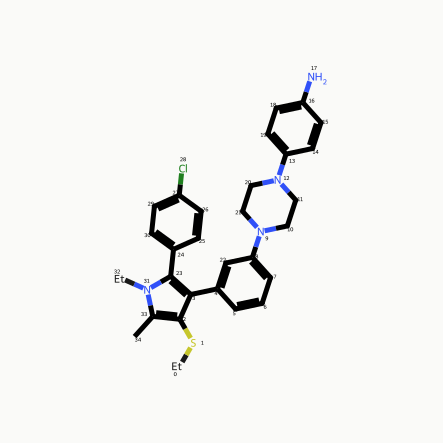 CCSc1c(-c2cccc(N3CCN(c4ccc(N)cc4)CC3)c2)c(-c2ccc(Cl)cc2)n(CC)c1C